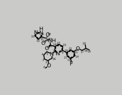 COC1CCCN(c2nc(-c3cc(F)cc(OCC(C)C)c3)ccc2C(=O)NS(=O)(=O)c2ccn[nH]2)C1